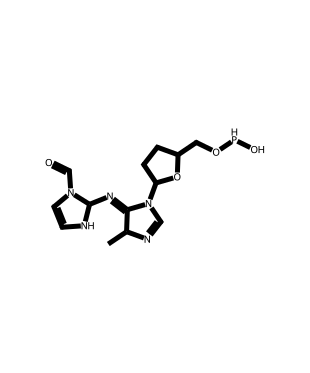 CC1N=CN(C2CCC(COPO)O2)/C1=N/C1NC=CN1C=O